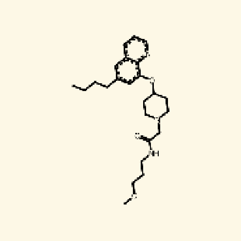 CCCCc1cc(OC2CCN(CC(=O)NCCCOC)CC2)c2ncccc2c1